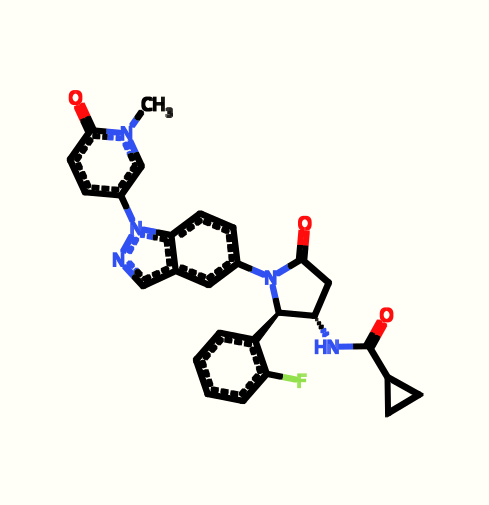 Cn1cc(-n2ncc3cc(N4C(=O)C[C@H](NC(=O)C5CC5)[C@H]4c4ccccc4F)ccc32)ccc1=O